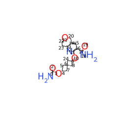 NC(=O)OC1CC2(C1)CC(Oc1nc3c(cc1C(N)=O)COCC3)C2